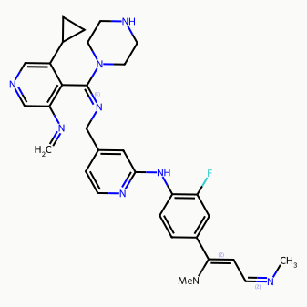 C=Nc1cncc(C2CC2)c1/C(=N\Cc1ccnc(Nc2ccc(/C(=C/C=N\C)NC)cc2F)c1)N1CCNCC1